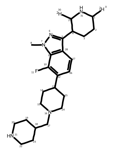 [2H]C1CCC(c2nn(C)c3c(F)c(C4CCN(CC5CCNCC5)CC4)ccc23)C([2H])N1